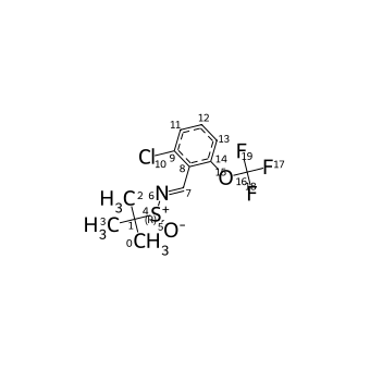 CC(C)(C)[S@+]([O-])N=Cc1c(Cl)cccc1OC(F)(F)F